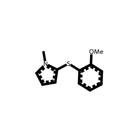 COc1ccccc1Sc1cccn1C